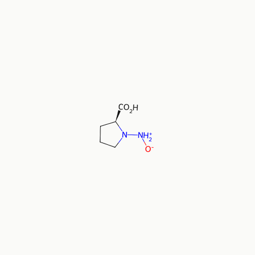 O=C(O)[C@@H]1CCCN1[NH2+][O-]